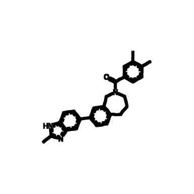 Cc1nc2cc(-c3ccc4c(c3)CN(C(=O)c3ccc(C)c(C)c3)CCC4)ccc2[nH]1